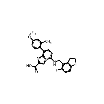 COc1cc(C)c(-c2cnc(NCc3c(F)ccc4c3CCO4)n3cc(C(=O)O)nc23)cn1